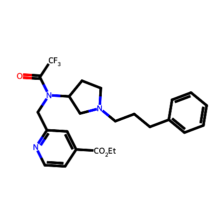 CCOC(=O)c1ccnc(CN(C(=O)C(F)(F)F)C2CCN(CCCc3ccccc3)C2)c1